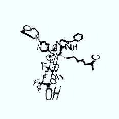 CC(=O)CCCCC[C@H](NS(=O)(=O)c1ccc(N2CCOCC2)nc1)c1ncc(-c2ccccc2)[nH]1.O=C(O)C(F)(F)F.O=C(O)C(F)(F)F